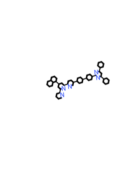 c1ccc(-c2cc(-c3ccccc3)nc(-c3ccc(-c4ccc(-c5ccc(-c6cc(-c7cccc8ccccc78)cc(-c7ccccn7)n6)nc5)cc4)cc3)n2)cc1